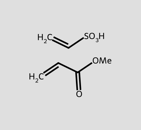 C=CC(=O)OC.C=CS(=O)(=O)O